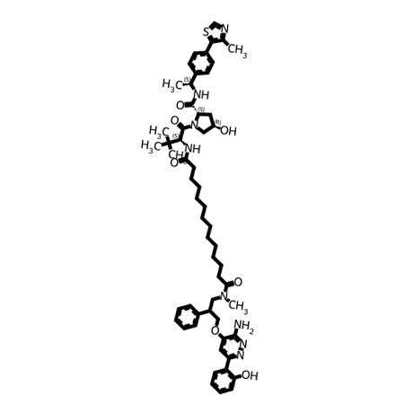 Cc1ncsc1-c1ccc([C@H](C)NC(=O)[C@@H]2C[C@@H](O)CN2C(=O)[C@@H](NC(=O)CCCCCCCCCCCCC(=O)N(C)CC(COc2cc(-c3ccccc3O)nnc2N)c2ccccc2)C(C)(C)C)cc1